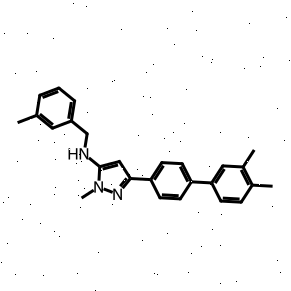 Cc1cccc(CNc2cc(-c3ccc(-c4ccc(C)c(C)c4)cc3)nn2C)c1